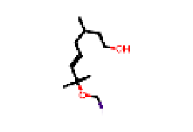 CC(CC=CC(C)(C)OCI)CCO